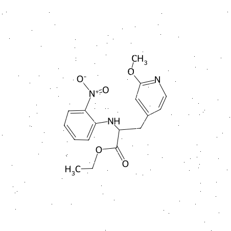 CCOC(=O)C(Cc1ccnc(OC)c1)Nc1ccccc1[N+](=O)[O-]